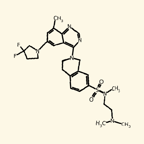 Cc1cc(N2CCC(F)(F)C2)cc2c(N3CCc4ccc(S(=O)(=O)N(C)CCN(C)C)cc4C3)ncnc12